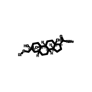 CCOC[C@@]1(O)CC[C@@]2(C)[C@H](CC[C@@H]3[C@@H]2CC[C@]2(C)[C@@H](C(=O)NC)CC[C@@H]32)C1